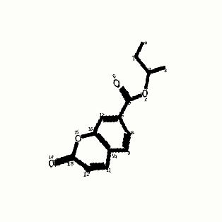 CCC(C)OC(=O)c1ccc2ccc(=O)oc2c1